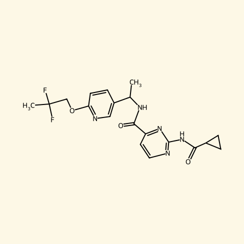 CC(NC(=O)c1ccnc(NC(=O)C2CC2)n1)c1ccc(OCC(C)(F)F)nc1